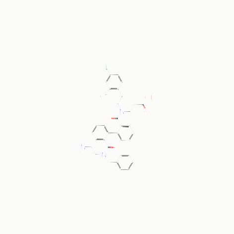 CN(C)CCN(Cc1ccccc1)C(=O)c1ccccc1-c1ccccc1C(=O)N(CCC(=O)O)CCc1ccc(Cl)cc1Cl